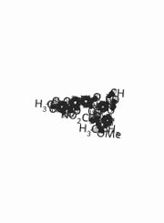 C#CCN1C(=O)COc2cc(F)c(N3C(=O)C4=C(CCCC4)C3=O)cc21.CCc1cccc(C)c1N(C(=O)CCl)C(C)COC.CS(=O)(=O)c1ccc(C(=O)C2C(=O)CCCC2=O)c([N+](=O)[O-])c1